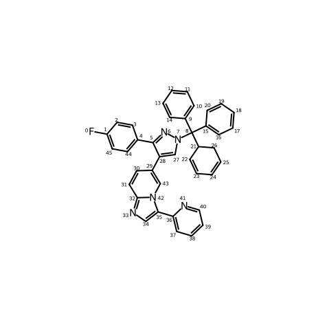 Fc1ccc(-c2nn(C(c3ccccc3)(c3ccccc3)C3C=CC=CC3)cc2-c2ccc3ncc(-c4ccccn4)n3c2)cc1